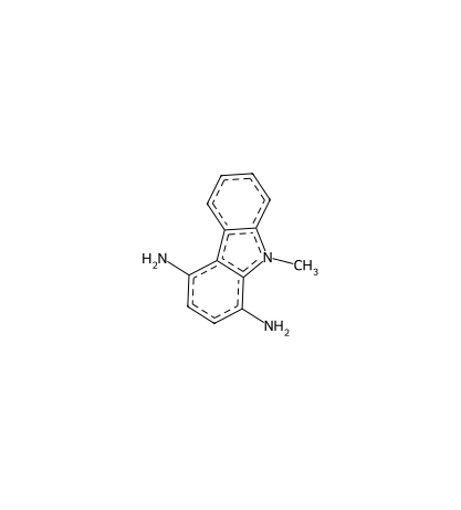 Cn1c2ccccc2c2c(N)ccc(N)c21